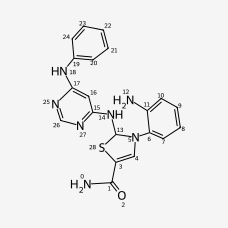 NC(=O)C1=CN(c2ccccc2N)C(Nc2cc(Nc3ccccc3)ncn2)S1